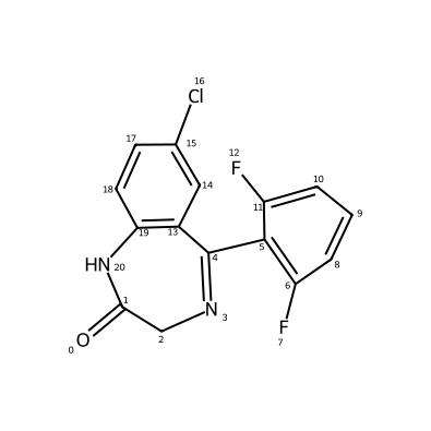 O=C1CN=C(c2c(F)cccc2F)c2cc(Cl)ccc2N1